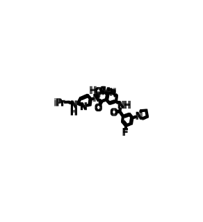 CON(C(=O)c1cc(NC(=O)c2cc(F)cc(N3CCCC3)c2)cnc1C)c1ccc(NCC(C)C)nc1